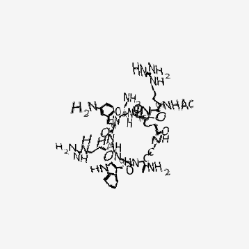 C=C(N)C1CCCNC(=O)CC[C@H](NC(=O)[C@H](CCCNC(=N)N)NC(C)=O)C(=O)N[C@@H](CCN)C(=O)N[C@H](Cc2cccc(N)c2)C(=O)N[C@@H](CCCNC(=N)N)C(=O)N[C@@H](Cc2c[nH]c3ccccc23)C(=O)N1